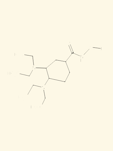 CCSNC(=O)C1CCC(N(CC(=O)O)CC(=O)O)C(N(CC(=O)O)CC(=O)O)C1